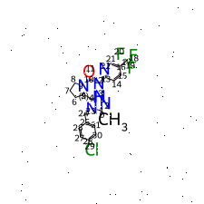 Cc1nnc([C@H]2CCCN2C(=O)Nc2ccc(C(F)(F)F)cn2)n1Cc1ccc(Cl)cc1